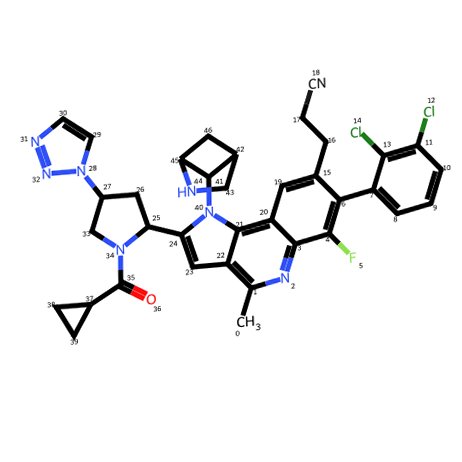 Cc1nc2c(F)c(-c3cccc(Cl)c3Cl)c(CCC#N)cc2c2c1cc(C1CC(n3ccnn3)CN1C(=O)C1CC1)n2C1C2CNC1C2